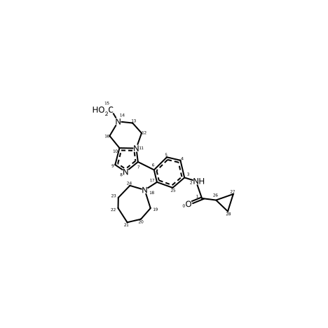 O=C(Nc1ccc(-c2ncc3n2CCN(C(=O)O)C3)c(N2CCCCCC2)c1)C1CC1